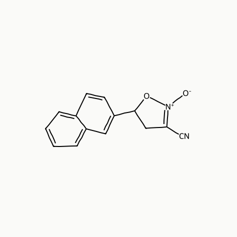 N#CC1=[N+]([O-])OC(c2ccc3ccccc3c2)C1